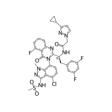 Cn1nc(NS(C)(=O)=O)c2c(Cl)ccc(-n3c([C@H](Cc4cc(F)cc(F)c4)NC(=O)Cn4ccc(C5CC5)n4)nc4cccc(F)c4c3=O)c21